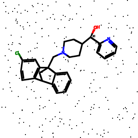 O[C@@H](c1ccccn1)C1CCN(CC23CC(c4ccccc42)c2ccc(Cl)cc23)CC1